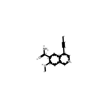 CC#Cc1cn[c]c2cc(OC)c(C(N)=O)cc12